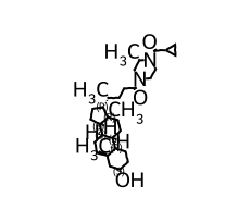 CC(CCC(=O)N1CCN(C(=O)C2CC2)C(C)C1)[C@H]1CC[C@H]2[C@@H]3CC=C4C[C@@H](O)CC[C@]4(C)[C@H]3CC[C@]12C